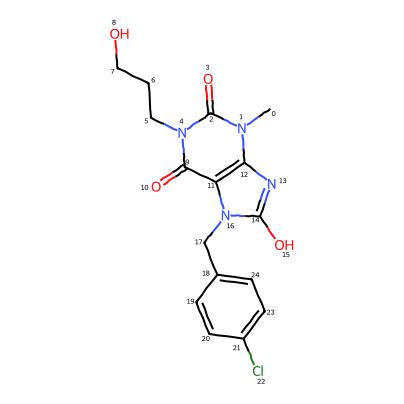 Cn1c(=O)n(CCCO)c(=O)c2c1nc(O)n2Cc1ccc(Cl)cc1